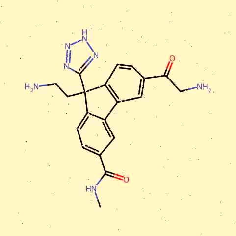 CNC(=O)c1ccc2c(c1)-c1cc(C(=O)CN)ccc1C2(CCN)c1nn[nH]n1